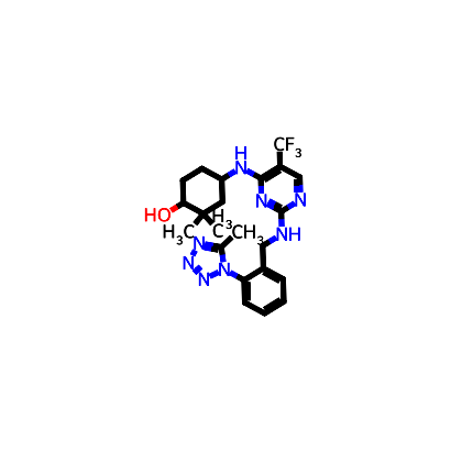 Cc1nnnn1-c1ccccc1CNc1ncc(C(F)(F)F)c(NC2CCC(O)C(C)(C)C2)n1